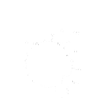 Cn1c2cc3c(cccc31)C=CCCC(C)(C)COC(=O)NCC(=O)N1C[C@@H](C[C@H]1C(=O)O)OC2=O